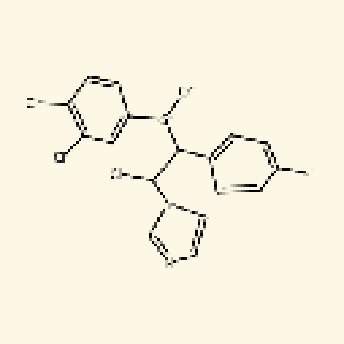 [O-][S+](c1ccc(Cl)c(Cl)c1)C(c1ccc(Cl)cc1)C(Cl)n1ccnc1